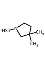 CC1(C)CC[N]([SnH])C1